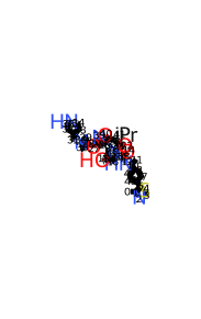 Cc1ncsc1-c1ccc(C(C)NC(=O)[C@@H]2C[C@@H](O)CN2C(=O)C(c2cc(OC3CN(CC4CCNCC4)C3)no2)C(C)C)cc1